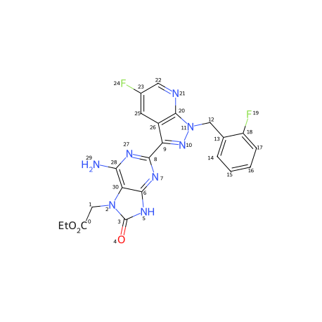 CCOC(=O)Cn1c(=O)[nH]c2nc(-c3nn(Cc4ccccc4F)c4ncc(F)cc34)nc(N)c21